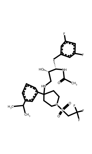 CC(=O)N[C@@H](Cc1cc(F)cc(F)c1)[C@@H](O)CNC1(c2cccc(C(C)C)c2)CCN(S(=O)(=O)CC(F)(F)F)CC1